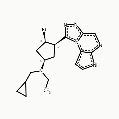 CC[C@@H]1C[C@H](N(CC2CC2)CC(F)(F)F)C[C@@H]1c1nnc2cnc3[nH]ccc3n12